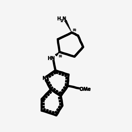 COc1cc(N[C@H]2CCC[C@@H](N)C2)nc2ccccc12